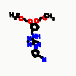 COCCOc1ccc(CNc2ncnc3c2cnn3-c2cccc(C#N)c2)cc1OCCOC